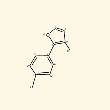 Cc1ccc(-c2occc2C)cc1